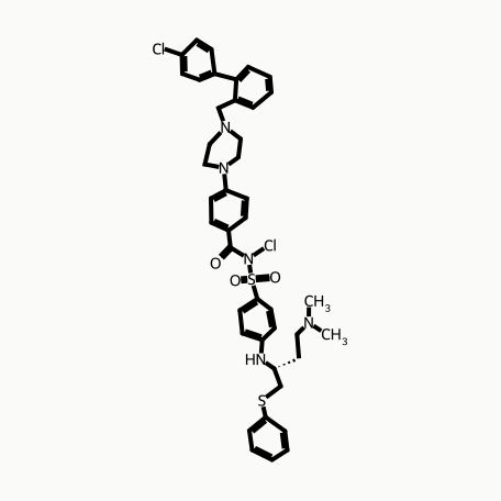 CN(C)CC[C@H](CSc1ccccc1)Nc1ccc(S(=O)(=O)N(Cl)C(=O)c2ccc(N3CCN(Cc4ccccc4-c4ccc(Cl)cc4)CC3)cc2)cc1